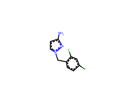 Nc1ccn(Cc2ccc(F)cc2F)n1